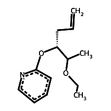 C=CC[C@@H](Oc1ccccn1)C(C)OCC